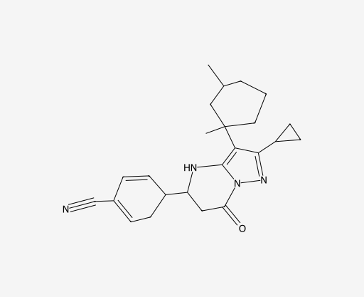 CC1CCCC(C)(c2c(C3CC3)nn3c2NC(C2C=CC(C#N)=CC2)CC3=O)C1